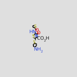 Nc1ccc(SCC2=C(C(=O)O)N3C(=O)C(NC(=O)c4cccs4)C3SC2)cc1